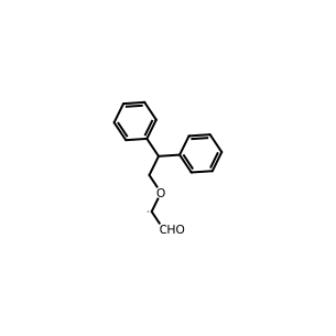 O=C[CH]OCC(c1ccccc1)c1ccccc1